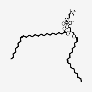 CCCCCCCC/C=C\CCCCCC/C=C\OC[C@H](COP(=O)([O-])OCC[N+](C)(C)C)OC(=O)CCCCCCCCCCCCC/C=C\CCCCCCCC